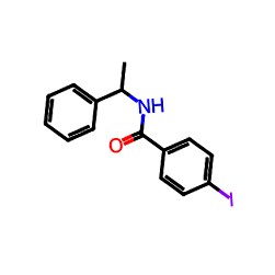 CC(NC(=O)c1ccc(I)cc1)c1ccccc1